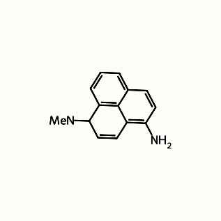 CNC1C=Cc2c(N)ccc3cccc1c23